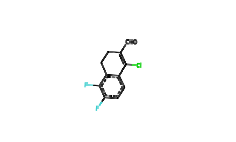 O=CC1=C(Cl)c2ccc(F)c(F)c2CC1